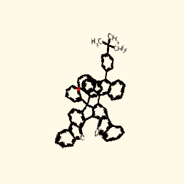 CC(C)(C)c1ccc(-c2c3ccccc3c(-c3cc4c(oc5ccccc54)c4c3C(c3ccccc3)(c3ccccc3)c3ccc5c(oc6ccccc65)c3-4)c3ccccc23)cc1